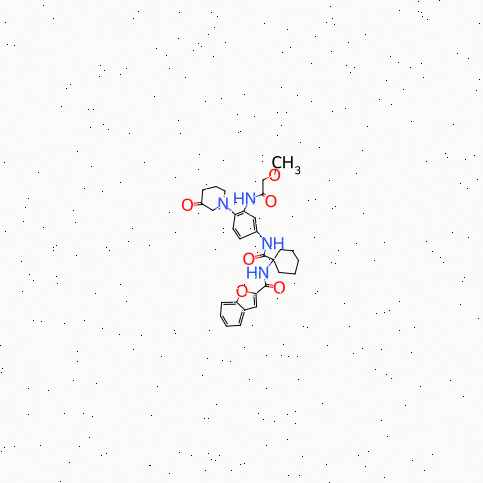 COCC(=O)Nc1cc(NC(=O)C2(NC(=O)c3cc4ccccc4o3)CCCCC2)ccc1N1CCCC(=O)C1